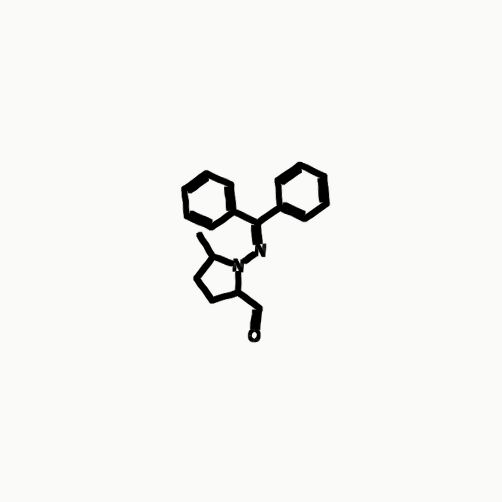 CC1CCC(C=O)N1N=C(c1ccccc1)c1ccccc1